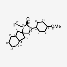 COC1CCC(N2CC3(CC4CCCNC4C3)N(C(C)C)C2=O)CC1